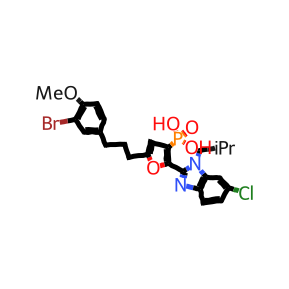 COc1ccc(CCCc2cc(P(=O)(O)O)c(-c3nc4ccc(Cl)cc4n3CC(C)C)o2)cc1Br